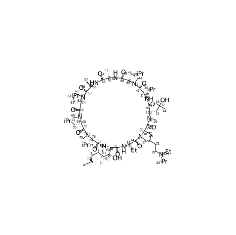 C/C=C/C[C@@H](C)[C@@H](O)[C@H]1C(=O)N[C@@H](CC)C(=O)N(C)[C@H](SCCCN(CC)C(C)C)C(=O)N(C)[C@@H](CC(C)(C)O)C(=O)N[C@@H](C(C)C)C(=O)N(C)[C@@H](CC(C)C)C(=O)N[C@@H](C)C(=O)N[C@H](C)C(=O)N(C)[C@@H](CC(C)C)C(=O)N(C)[C@@H](CC(C)C)C(=O)N(C)[C@@H](C(C)C)C(=O)N1C